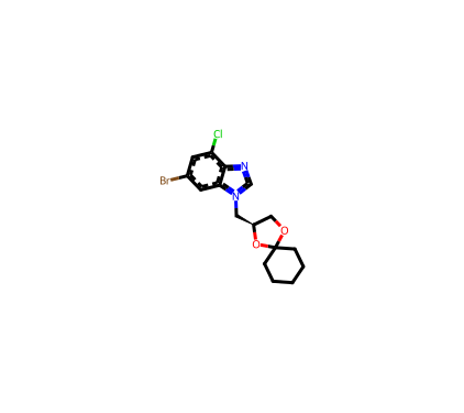 Clc1cc(Br)cc2c1ncn2C[C@H]1COC2(CCCCC2)O1